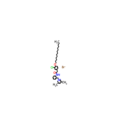 CCCCCCCCCCCCCCOc1ccc(CC(=O)Nc2ccccc2C[n+]2cc(C)cc(C)c2)cc1Cl.[Br-]